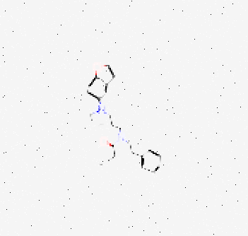 CC(C)CN(CCCN(CCc1ccccc1)C(=O)CC(C)(C)C)c1ccc2occc2c1